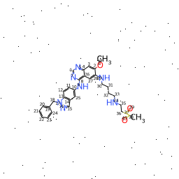 COc1cc2ncnc(Nc3ccc4c(cnn4Cc4ccccc4)c3)c2cc1NCCCCNCCS(C)(=O)=O